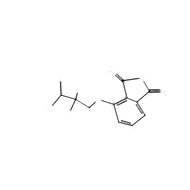 N=C1NC(=N)c2c(OCC(F)(F)C(F)F)cccc21